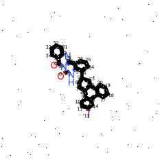 O=c1[nH]c2c(-c3ccc4c5ccc(I)cc5c5ccccc5c4c3)cccc2c2nc3ccccc3c(=O)n12